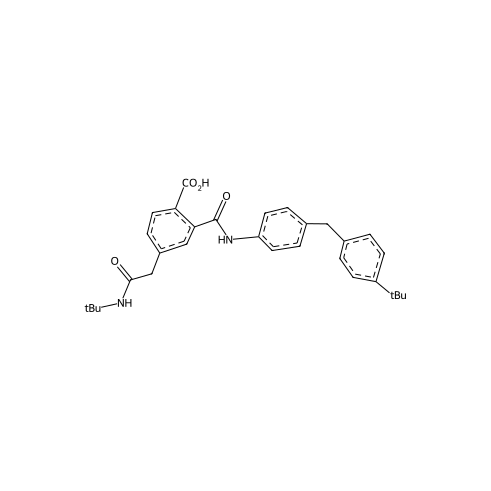 CC(C)(C)NC(=O)Cc1ccc(C(=O)O)c(C(=O)Nc2ccc(Cc3ccc(C(C)(C)C)cc3)cc2)c1